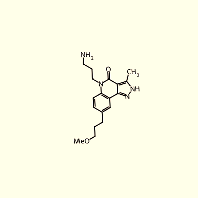 COCCCc1ccc2c(c1)c1n[nH]c(C)c1c(=O)n2CCCN